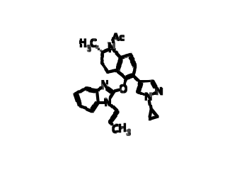 CC=Cn1c(Oc2c(-c3cnn(C4CC4)c3)ccc3c2CC[C@H](C)N3C(C)=O)nc2ccccc21